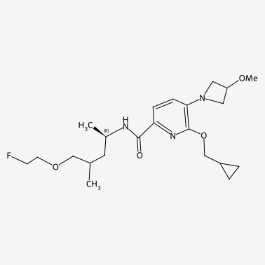 COC1CN(c2ccc(C(=O)N[C@H](C)CC(C)COCCF)nc2OCC2CC2)C1